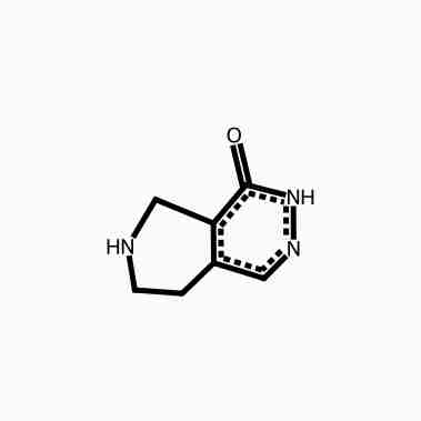 O=c1[nH]ncc2c1CNCC2